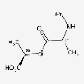 CC(C)N[C@H](C)C(=O)O[C@H](C)C(=O)O